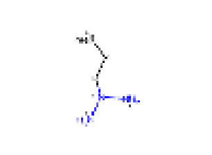 CNCCN(N)N